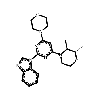 C[C@@H]1OCCN(c2cc(N3CCOCC3)nc(-n3cnc4ccccc43)n2)[C@H]1C